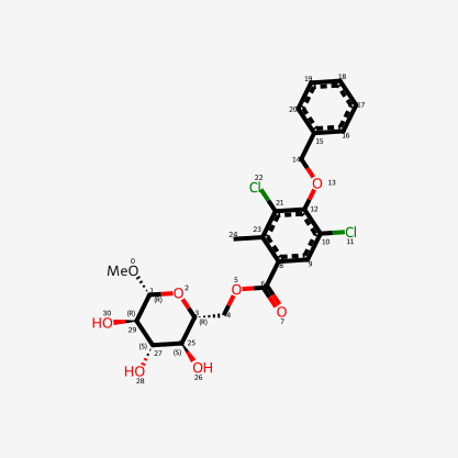 CO[C@@H]1O[C@H](COC(=O)c2cc(Cl)c(OCc3ccccc3)c(Cl)c2C)[C@@H](O)[C@H](O)[C@H]1O